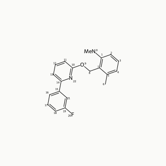 CNc1cccc(C)c1COc1cccc(-c2cccc(F)c2)n1